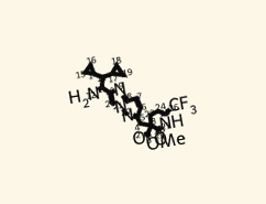 COC(=O)C1(Cc2ccc3nc(C(N)C(C4CC4)C4CC4)cn3n2)CCC(C(F)(F)F)NC1=O